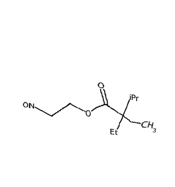 CCC(C)(C(=O)OCCN=O)C(C)C